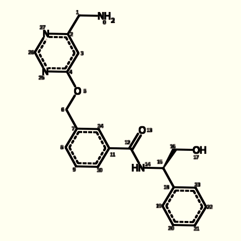 NCc1cc(OCc2cccc(C(=O)N[C@@H](CO)c3ccccc3)c2)ncn1